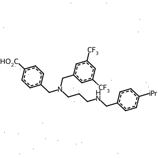 CC(C)c1ccc(CNCCCN(Cc2ccc(C(=O)O)cc2)Cc2cc(C(F)(F)F)cc(C(F)(F)F)c2)cc1